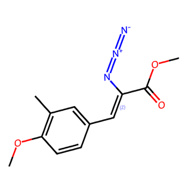 COC(=O)/C(=C/c1ccc(OC)c(C)c1)N=[N+]=[N-]